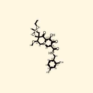 CCOP(C)(=O)CC1(C)C(=O)c2c(O)c(=O)c(C(=O)NCc3ccc(F)cc3F)cn2CC1OC